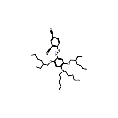 CCCCCN(CCCCC)c1cc(OCC(CC)CCCC)c(/N=N/c2ccc(C#N)cc2C#N)cc1OCC(CC)CCCC